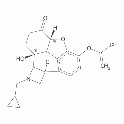 C=C(Oc1ccc2c3c1O[C@H]1C(=O)CC[C@@]4(O)C5N(CC6CC6)CC25CC314)C(C)C